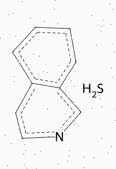 S.c1ccc2cnccc2c1